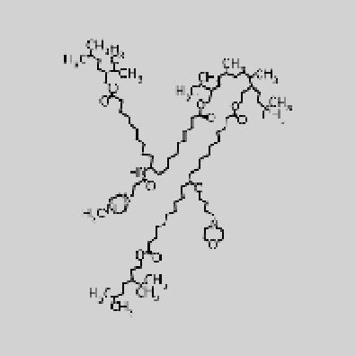 CC(C)CCC(CCOC(=O)CCCCCCCCCC(CCCCCCCCCC(=O)OCCC(CCC(C)C)C(C)CCC(C)CCC(COC(=O)CCCCCCCCCC(CCCCCCCCCC(=O)OCC(CCC(C)C)C(C)C)NC(=O)CCN1CCN(C)CC1)C(C)C)OCCCCN1CCOCC1)C(C)C